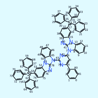 c1ccc(-c2cc(-n3c4ccccc4n4c5cc([Si](c6ccccc6)(c6ccccc6)c6ccccc6)ccc5nc34)nc(-n3c4ccccc4n4c5cc([Si](c6ccccc6)(c6ccccc6)c6ccccc6)ccc5nc34)n2)cc1